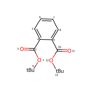 CC(C)(C)OC(=O)c1ccccc1C(=O)OC(C)(C)C